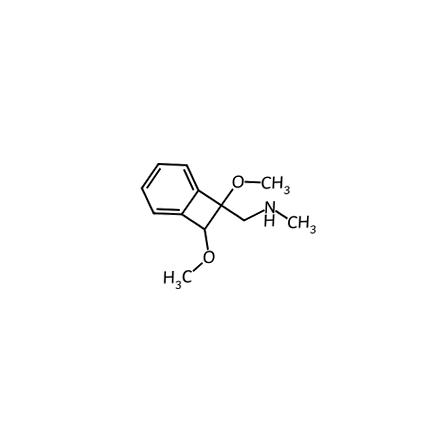 CNCC1(OC)c2ccccc2C1OC